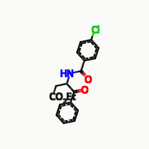 CCOC(=O)CC(NC(=O)c1ccc(Cl)cc1)C(=O)c1ccccc1